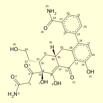 NC(=O)CC(=O)[C@@]1(O)C(O)=C2C(=O)c3c(O)ccc(-c4cccc(C(N)=O)c4)c3C[C@H]2C[C@H]1CCO